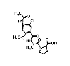 COc1cc(NC(C)=O)c(Cl)cc1C(=O)NC(C)C(=O)N1CCCC1C(=O)O